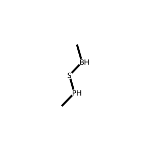 CBSPC